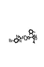 Cc1cccc(C)c1-c1noc(C2CC2)c1C1=CC2(CCN(c3cnc4cc(Br)ccc4n3)CC2)C1